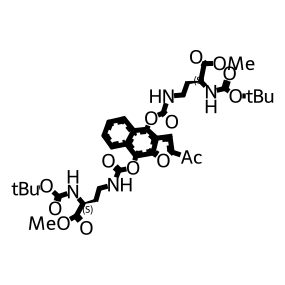 COC(=O)[C@H](CCNC(=O)Oc1c2ccccc2c(OC(=O)NCC[C@H](NC(=O)OC(C)(C)C)C(=O)OC)c2oc(C(C)=O)cc12)NC(=O)OC(C)(C)C